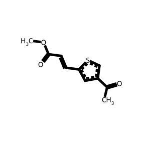 COC(=O)C=Cc1cc(C(C)=O)cs1